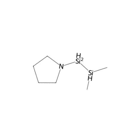 C[SiH](C)[SiH2]N1CCCC1